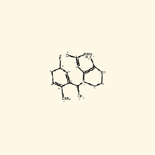 CN/C(Cl)=C\C1=C(N)NCCN1C(C)C1=CC(F)CC=C1OC